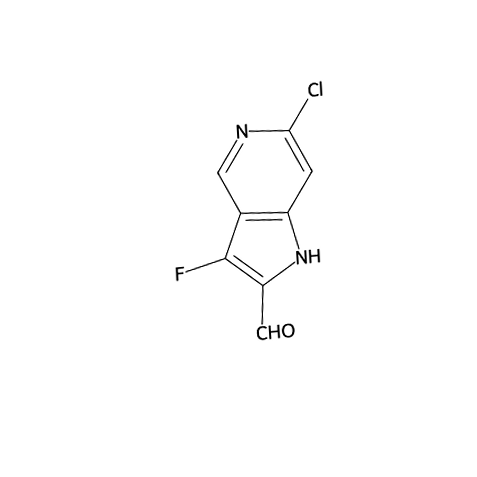 O=Cc1[nH]c2cc(Cl)ncc2c1F